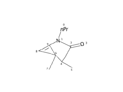 CCCN1C(=O)C(C)C2(C)C=C12